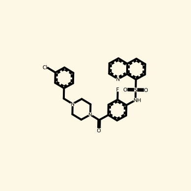 O=C(c1ccc(NS(=O)(=O)c2cccc3cccnc23)c(F)c1)N1CCN(Cc2cccc(Cl)c2)CC1